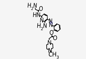 CN1CCN(CC(=O)Oc2ccccc2/N=N/c2ccc(NC(=O)CN)nc2N)CC1